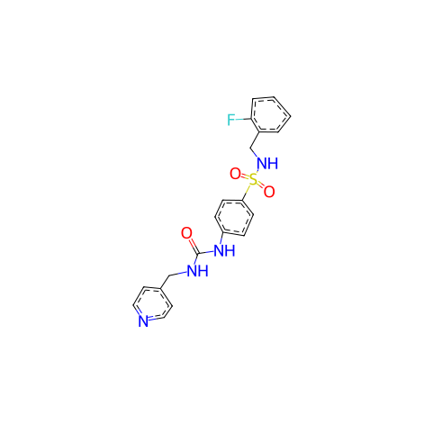 O=C(NCc1ccncc1)Nc1ccc(S(=O)(=O)NCc2ccccc2F)cc1